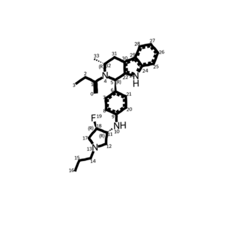 C=C(CC)N1[C@H](c2ccc(N[C@@H]3CN(CCC)C[C@H]3F)cc2)c2[nH]c3ccccc3c2C[C@H]1C